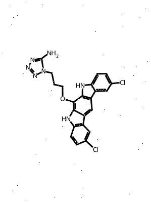 Nc1nnnn1CCCOc1c2[nH]c3ccc(Cl)cc3c2cc2c1[nH]c1ccc(Cl)cc12